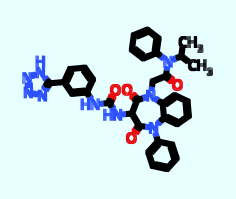 CC(C)N(C(=O)CN1C(=O)C(NC(=O)Nc2cccc(-c3nnn[nH]3)c2)C(=O)N(c2ccccc2)c2ccccc21)c1ccccc1